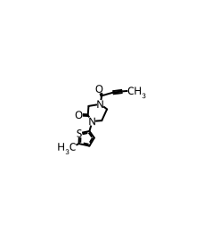 CC#CC(=O)N1CCN(c2ccc(C)s2)C(=O)C1